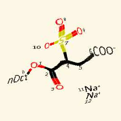 CCCCCCCCOC(=O)C(CC(=O)[O-])S(=O)(=O)[O-].[Na+].[Na+]